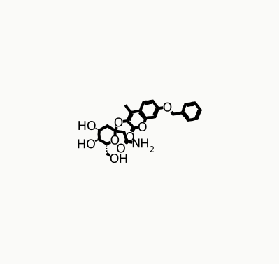 Cc1c(OC2(CC(N)=O)C[C@@H](O)[C@H](O)[C@@H](CO)O2)c(=O)oc2cc(OCc3ccccc3)ccc12